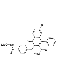 CONC(=O)c1ccc(Cn2c(C(=O)OC)c(-c3ccccc3)c3cc(Br)ccc3c2=O)cc1